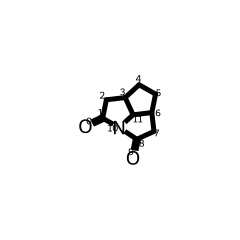 O=C1CC2CCC3CC(=O)N1C23